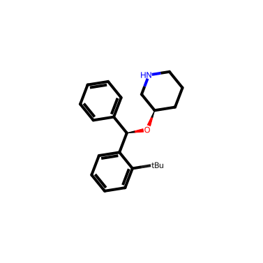 CC(C)(C)c1ccccc1[C@H](O[C@@H]1CCCNC1)c1ccccc1